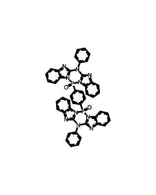 O=P1(c2ccc(P3(=O)n4c(nc5ccccc54)N(c4ccccc4)c4nc5ccccc5n43)cc2)n2c(nc3ccccc32)N(c2ccccc2)c2nc3ccccc3n21